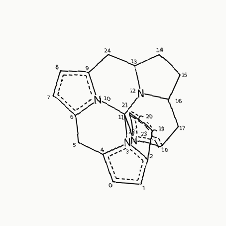 c1cc2n3c1Cc1ccc4n1C31N3C(CCC3Cc3ccc(n31)C2)C4